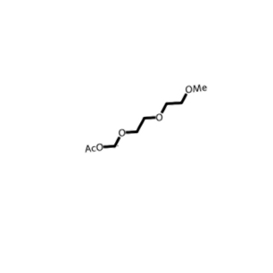 COCCOCCO[CH]OC(C)=O